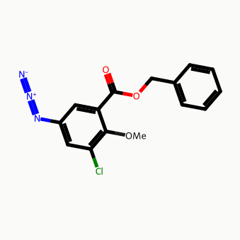 COc1c(Cl)cc(N=[N+]=[N-])cc1C(=O)OCc1ccccc1